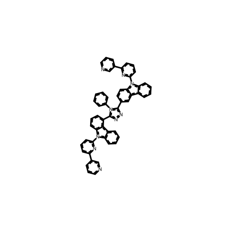 c1ccc(-n2c(-c3ccc4c(c3)c3ccccc3n4-c3cccc(-c4cccnc4)n3)nnc2-c2cccc3c2c2ccccc2n3-c2cccc(-c3cccnc3)n2)cc1